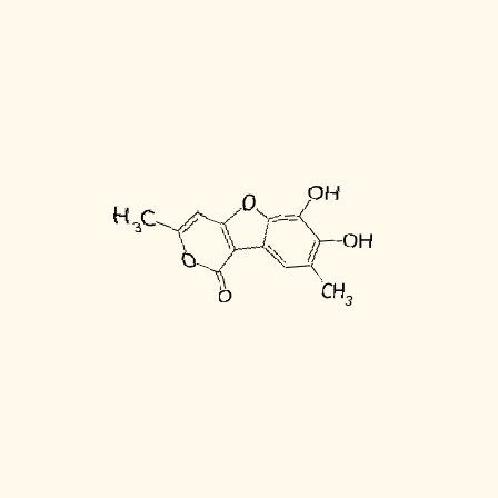 Cc1cc2oc3c(O)c(O)c(C)cc3c2c(=O)o1